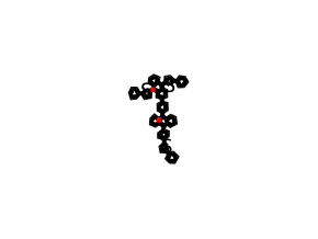 c1ccc(-c2ccc(-c3ccc(-c4c5ccccc5c(-c5ccc(-c6ccc7c(-c8ccc(-c9ccccc9)s8)c8ccccc8c(-c8ccc(-c9ccccc9)s8)c7c6)cc5)c5ccccc45)cc3)s2)cc1